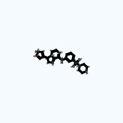 O=S(=O)(c1cccc(NC2=NC=CN3C2=NCC3c2cn[nH]c2)c1)N1CCOCC1